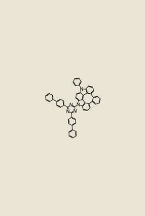 c1ccc(-c2ccc(-c3nc(-c4ccc(-c5ccccc5)cc4)nc(-n4c5cccc6c7ccccc7c7cccc8c7c7c(c65)c4ccc7n8-c4ccccc4)n3)cc2)cc1